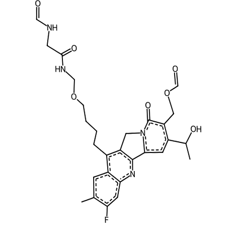 Cc1cc2c(CCCCOCNC(=O)CNC=O)c3c(nc2cc1F)-c1cc(C(C)O)c(COC=O)c(=O)n1C3